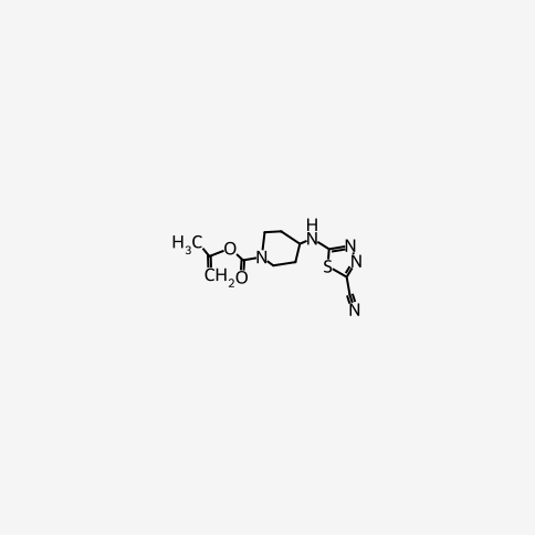 C=C(C)OC(=O)N1CCC(Nc2nnc(C#N)s2)CC1